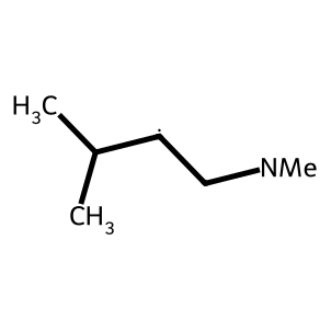 CNC[CH]C(C)C